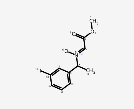 COC(=O)/C=[N+](\[O-])C(C)c1cccc(I)c1